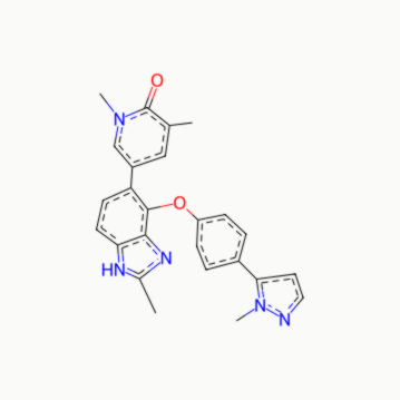 Cc1nc2c(Oc3ccc(-c4ccnn4C)cc3)c(-c3cc(C)c(=O)n(C)c3)ccc2[nH]1